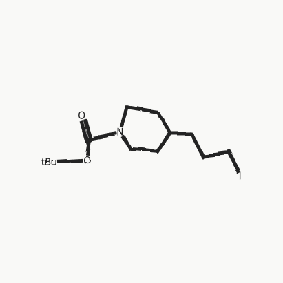 CC(C)(C)OC(=O)N1CCC(CCCI)CC1